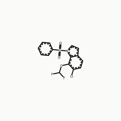 O=S(=O)(c1ccccc1)n1ccc2ccc(Cl)c(OC(F)F)c21